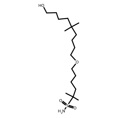 CC(C)(CCCCO)CCCCOCCCCC(C)(C)S(N)(=O)=O